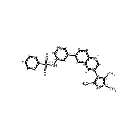 Cc1nn(C)c(C)c1-c1cnc2ccc(-c3cncc(NS(=O)(=O)c4ccccc4)c3)cc2n1